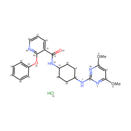 COc1cc(OC)nc(NC2CCC(NC(=O)c3cccnc3Oc3ccccc3)CC2)n1.Cl